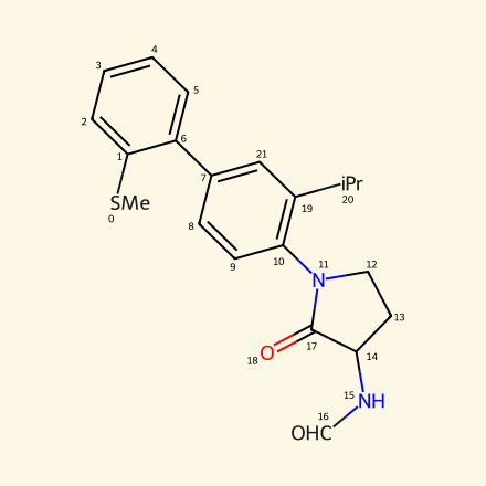 CSc1ccccc1-c1ccc(N2CCC(NC=O)C2=O)c(C(C)C)c1